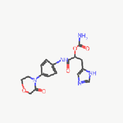 NC(=O)OC(Cc1cnc[nH]1)C(=O)Nc1ccc(N2CCOCC2=O)cc1